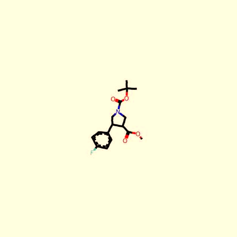 COC(=O)C1CN(C(=O)OC(C)(C)C)CC1c1ccc(F)cc1